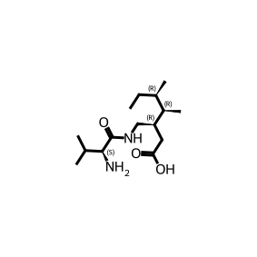 CC[C@@H](C)[C@@H](C)[C@H](CNC(=O)[C@@H](N)C(C)C)CC(=O)O